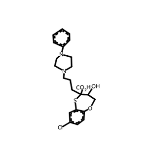 O=C(O)C1(CCCN2CCN(c3ccccc3)CC2)Sc2cc(Cl)ccc2OCC1O